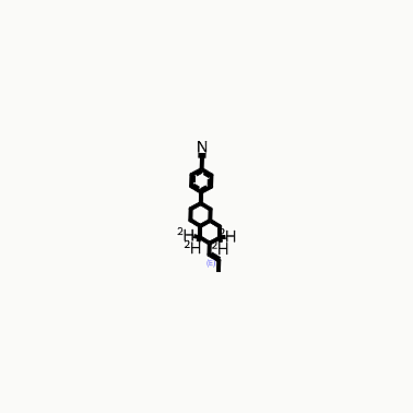 [2H]C1([2H])CC2CC(c3ccc(C#N)cc3)CCC2C([2H])([2H])C1/C=C/C